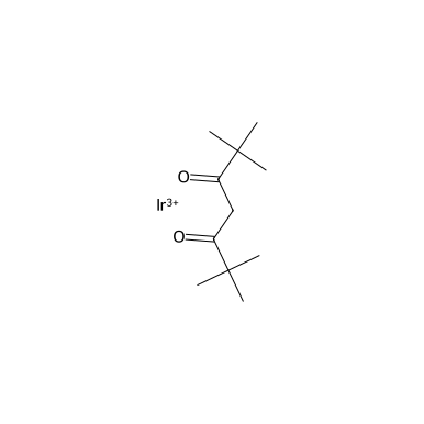 CC(C)(C)C(=O)CC(=O)C(C)(C)C.[Ir+3]